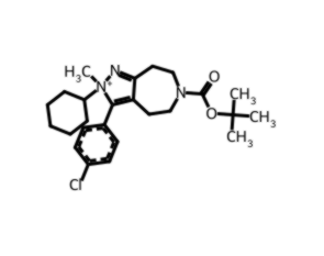 CC(C)(C)OC(=O)N1CCC2=N[N+](C)(C3CCCCC3)C(c3ccc(Cl)cc3)=C2CC1